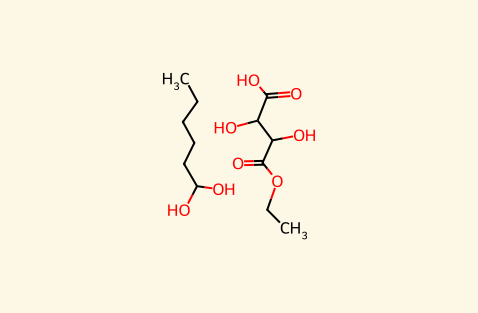 CCCCCC(O)O.CCOC(=O)C(O)C(O)C(=O)O